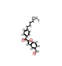 CCCCCc1ccc(C(=O)c2cc3cc(C=O)ccc3o2)cc1